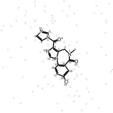 CN1Cc2c(C(=O)n3ccnc3)ncn2-c2ccc(Cl)cc2C1=O